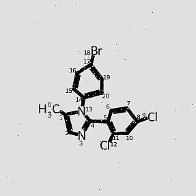 Cc1cnc(-c2ccc(Cl)cc2Cl)n1-c1ccc(Br)cc1